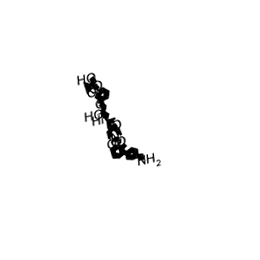 Cc1c(-c2ccc(CN)cc2)cccc1S(=O)(=O)N1CCC2(CC1)C[C@H](NC[C@H](O)COc1cccc(S(=O)(=O)C3(CO)CC3)c1)CO2